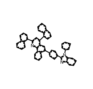 c1ccc(-n2c(-c3ccc(-c4cc5c(-c6cccc7ccccc67)cc(-c6cccc7ccccc67)nc5c5ccccc45)cc3)nc3ccccc32)cc1